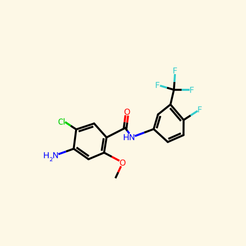 COc1cc(N)c(Cl)cc1C(=O)Nc1ccc(F)c(C(F)(F)F)c1